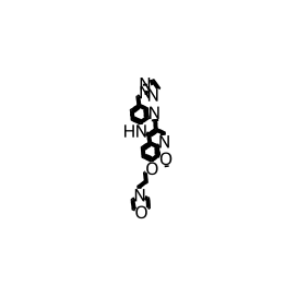 COc1c(OCCCN2CCOCC2)ccc2c(Nc3ccc(Cn4nccn4)cc3)c(C#N)cnc12